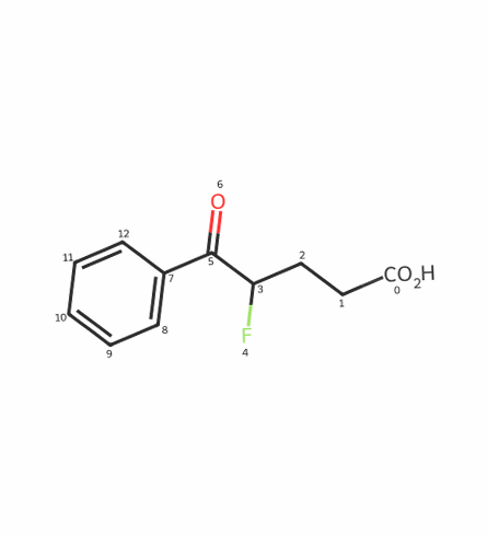 O=C(O)CCC(F)C(=O)c1ccccc1